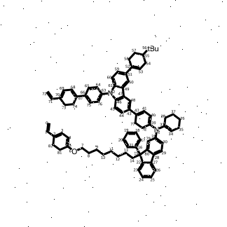 C=CC1=CC=C(OCCCCCCCCC2(c3ccccc3)c3ccccc3-c3ccc(N(C4=CCCCC4)C4=CC=C(c5ccc6c(c5)c5cc(C7=CCC(C(C)(C)C)CC7)ccc5n6-c5ccc(C6=CC=C(C=C)CC6)cc5)CC4)cc32)CC1